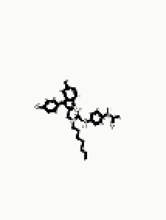 CCCCCCCN(Cc1oc2ccc(C)cc2c1-c1ccc(Cl)cc1)C(=O)Nc1ccc(NC(C)=O)cc1